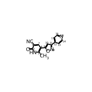 Cc1[nH]c(=O)c(C#N)cc1-c1cc(-c2ccncc2)no1